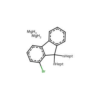 CCCCCCCC1(CCCCCCC)c2ccccc2-c2cccc(Br)c21.[MgH2].[MgH2]